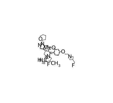 COc1cc(OCCN2CC(CF)C2)ccc1[C@@H]1c2ccc3c(cnn3C3CCCCO3)c2C[C@@H](C)N1CC(C)(C)F